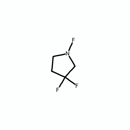 FN1CCC(F)(F)C1